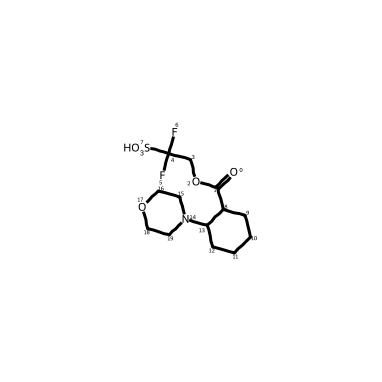 O=C(OCC(F)(F)S(=O)(=O)O)C1CCCCC1N1CCOCC1